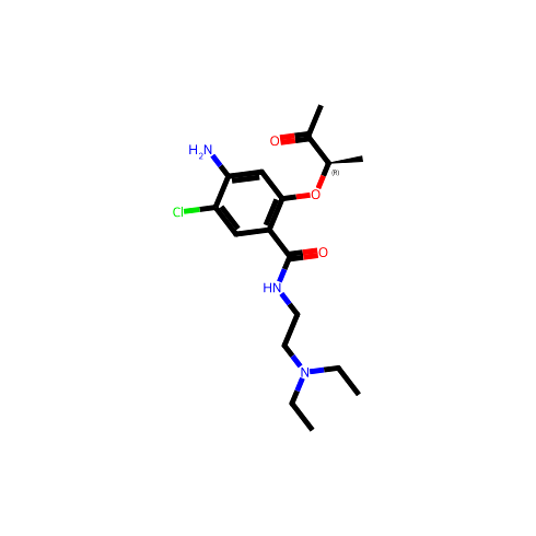 CCN(CC)CCNC(=O)c1cc(Cl)c(N)cc1O[C@H](C)C(C)=O